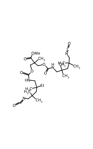 CCC(C)(CNC(=O)OCC(C)(COC(=O)NCC(C)(C)CC(C)(C)CN=C=O)C(=O)OC)CC(C)(C)CN=C=O